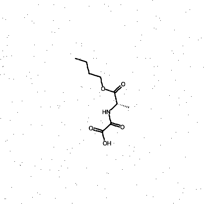 CCCCOC(=O)[C@H](C)NC(=O)C(=O)O